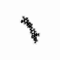 CCOCC(=O)NC1CCC(CCN2CCN(c3ccc(C)c(F)c3)CC2)CC1